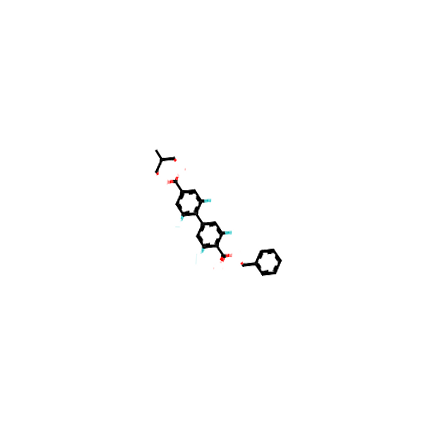 CC1COC(c2cc(F)c(-c3cc(F)c(C(=O)OCc4ccccc4)c(F)c3)c(F)c2)OC1